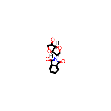 O=C1CO[C@H]2[C@@H]1OC[C@@H]2N1C(=O)c2ccccc2C1=O